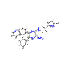 Cc1ccc(C(C)(C)CNc2nc(-c3ccc4ncccc4c3)c(-c3ccccc3)nc2N)[nH]1